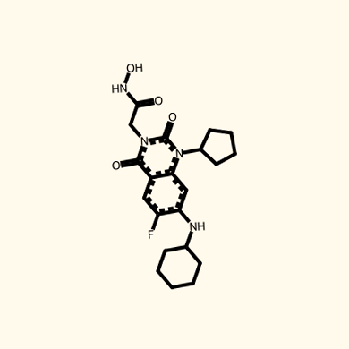 O=C(Cn1c(=O)c2cc(F)c(NC3CCCCC3)cc2n(C2CCCC2)c1=O)NO